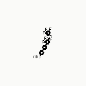 CCCCc1ccc(-c2ccc(-c3ccc(C(F)(F)Oc4cc(F)c(F)c(F)c4)c(F)c3F)cc2)cc1